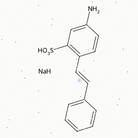 Nc1ccc(/C=C/c2ccccc2)c(S(=O)(=O)O)c1.[NaH]